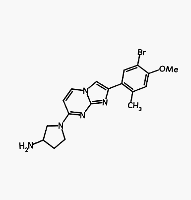 COc1cc(C)c(-c2cn3ccc(N4CCC(N)C4)nc3n2)cc1Br